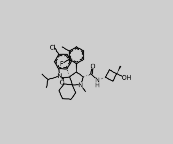 Cc1cccc([C@H]2[C@H](C(=O)N[C@H]3C[C@@](C)(O)C3)N(C)C3(CCCCC3)[C@@]23C(=O)N(C(C)C)c2cc(Cl)ccc23)c1F